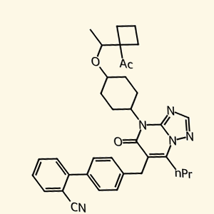 CCCc1c(Cc2ccc(-c3ccccc3C#N)cc2)c(=O)n(C2CCC(OC(C)C3(C(C)=O)CCC3)CC2)c2ncnn12